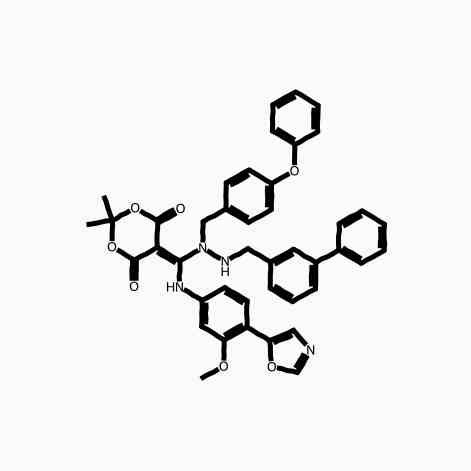 COc1cc(NC(=C2C(=O)OC(C)(C)OC2=O)N(Cc2ccc(Oc3ccccc3)cc2)NCc2cccc(-c3ccccc3)c2)ccc1-c1cnco1